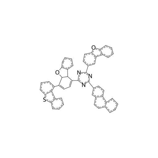 C1=C(c2cccc3sc4ccccc4c23)C2Oc3ccccc3C2C(c2nc(-c3ccc4c(ccc5ccccc54)c3)nc(-c3ccc4oc5ccccc5c4c3)n2)=C1